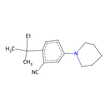 CCC(C)(C)c1ccc(N2CCCCC2)cc1C#N